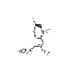 O=C(O)C[C@@H](Cc1ccc(F)c[n+]1[O-])C(=O)O